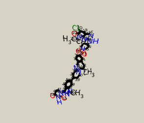 CC(Cc1cc(S(=O)(=O)N2CCC(Nc3ncc4cc(Cl)c(=O)n(C(C)C)c4n3)CC2)ccc1C#N)CN1CCC(c2ccc3c(N4CCC(=O)NC4=O)nn(C)c3c2)CC1